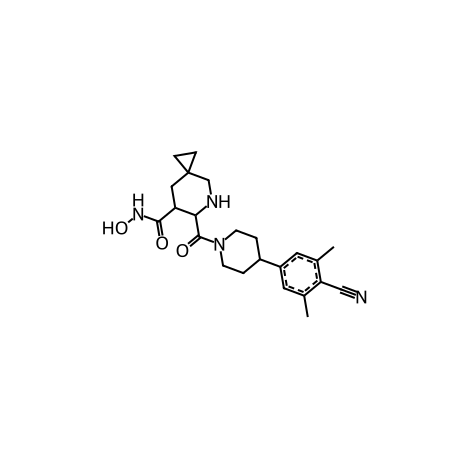 Cc1cc(C2CCN(C(=O)C3NCC4(CC4)CC3C(=O)NO)CC2)cc(C)c1C#N